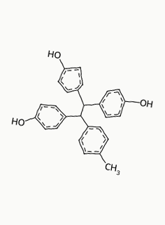 Cc1ccc(C(c2ccc(O)cc2)C(c2ccc(O)cc2)c2ccc(O)cc2)cc1